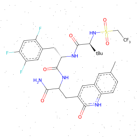 Cc1ccc2[nH]c(=O)c(CC(NC(=O)[C@H](Cc3cc(F)c(F)cc3F)NC(=O)[C@@H](NS(=O)(=O)CC(F)(F)F)C(C)(C)C)C(N)=O)cc2c1